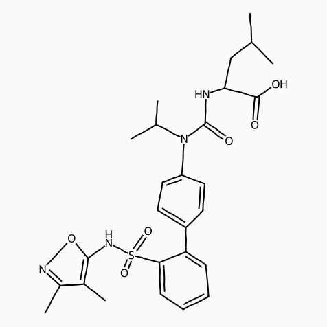 Cc1noc(NS(=O)(=O)c2ccccc2-c2ccc(N(C(=O)NC(CC(C)C)C(=O)O)C(C)C)cc2)c1C